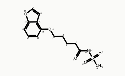 CS(=O)(=O)NC(=O)CCCCOc1cccc2occc12